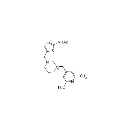 CC(=O)Nc1ccc(CN2CCC[C@H](Cc3cc(C)nc(C)c3)C2)s1